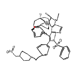 CN1C(=O)[C@]2(C[C@H]3CC[C@@H](C2)N3)c2c1cnc1c2c(-c2ccccc2)c(-c2ccc(CN3CCC(C[SH](=O)=O)CC3)cc2)n1S(=O)(=O)c1ccccc1